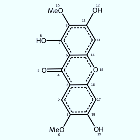 COc1cc2c(=O)c3c(O)c(OC)c(O)cc3oc2cc1O